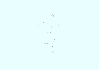 CC(C)(C)CC(C(=O)OCC(F)(F)S(=O)(=O)O)C(C)(C)C